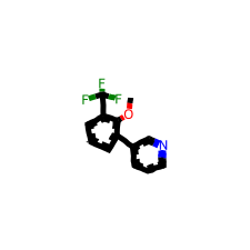 COc1c(-c2cccnc2)c[c]cc1C(F)(F)F